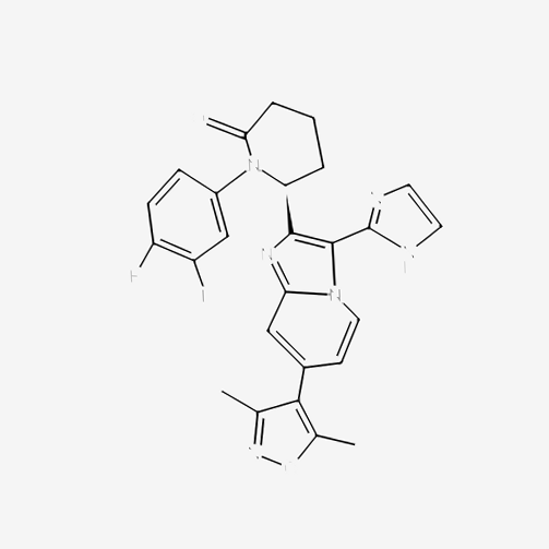 Cc1noc(C)c1-c1ccn2c(-c3ncc[nH]3)c([C@@H]3CCCC(=O)N3c3ccc(F)c(F)c3)nc2c1